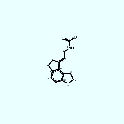 CCC(=O)NC/C=C1\CCc2ncc3c(c21)CCO3